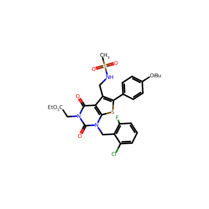 CCOC(=O)Cn1c(=O)c2c(CNS(C)(=O)=O)c(-c3ccc(OCC(C)C)cc3)sc2n(Cc2c(F)cccc2Cl)c1=O